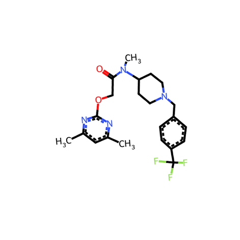 Cc1cc(C)nc(OCC(=O)N(C)C2CCN(Cc3ccc(C(F)(F)F)cc3)CC2)n1